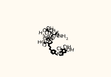 CC(C)(O/N=C(\C(=O)N[C@@H]1C(=O)N2C(C(=O)O)=C(CCCc3ccc(C[n+]4ccc5cc(O)c(O)c(Cl)c5c4)cc3)CS[C@H]12)c1csc(N)n1)C(=O)O